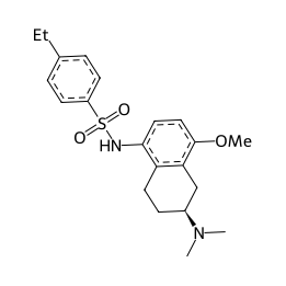 CCc1ccc(S(=O)(=O)Nc2ccc(OC)c3c2CC[C@H](N(C)C)C3)cc1